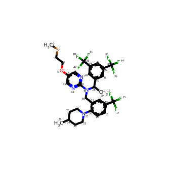 CSCCOc1cnc(N(Cc2cc(C(F)(F)F)ccc2N2CCC(C)CC2)C(C)c2cc(C(F)(F)F)cc(C(F)(F)F)c2)nc1